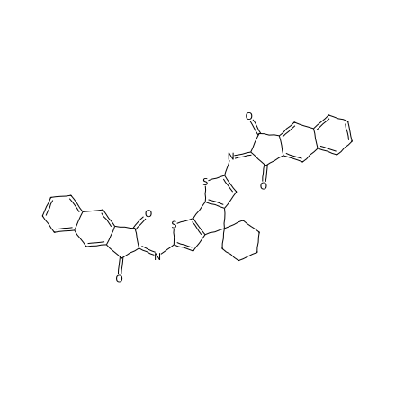 O=c1c(=Nc2cc3c(s2)-c2sc(N=c4c(=O)c5cc6ccccc6cc5c4=O)cc2C32CCCCC2)c(=O)c2cc3ccccc3cc12